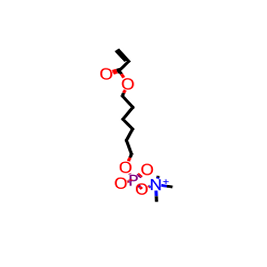 C=CC(=O)OCCCCCCOP(=O)([O-])O[N+](C)(C)C